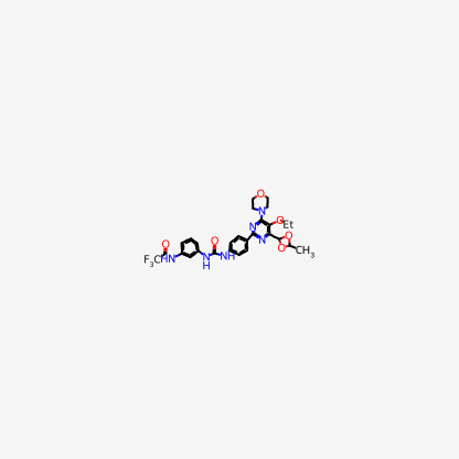 CCOc1c(C2OC(C)O2)nc(-c2ccc(NC(=O)Nc3cccc(NC(=O)C(F)(F)F)c3)cc2)nc1N1CCOCC1